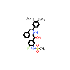 COc1ccc([C@@H](Cc2ccccc2)NCC(O)c2ccc(F)c(NS(C)(=O)=O)c2)cc1OC